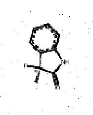 C[C@]1(F)C(=O)Nc2ccccc21